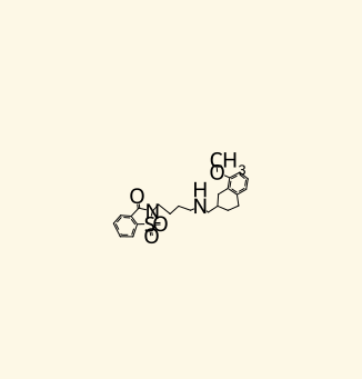 COc1cccc2c1CC(CNCCCCN1C(=O)c3ccccc3S1(=O)=O)CC2